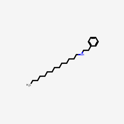 CCCCCCCCCCCCCCNCCc1ccccc1